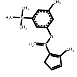 [CH2]=[Ti]([O]c1cc(C)cc([Si](C)(C)C)c1)[C]1=C(C)C=CC1